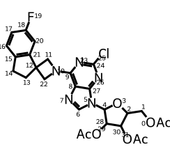 CC(=O)OCC1OC(n2cnc3c(N4CC5(CCc6ccc(F)cc65)C4)nc(Cl)nc32)C(OC(C)=O)C1OC(C)=O